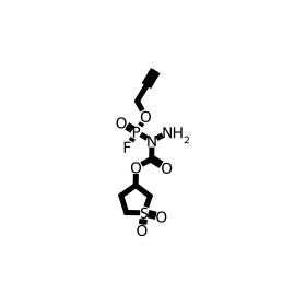 C#CCOP(=O)(F)N(N)C(=O)OC1CCS(=O)(=O)C1